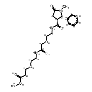 CN1C(=O)C[C@H](C(=O)NCCOCC(=O)NCCOCCC(=O)OC(C)(C)C)[C@H]1c1cccnc1